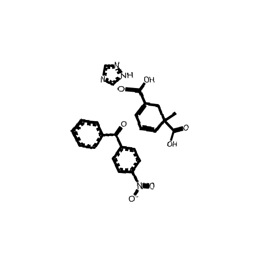 CC1(C(=O)O)C=CC=C(C(=O)O)C1.O=C(c1ccccc1)c1ccc([N+](=O)[O-])cc1.c1nc[nH]n1